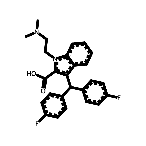 CN(C)CCn1c(C(=O)O)c(C(c2ccc(F)cc2)c2ccc(F)cc2)c2ccccc21